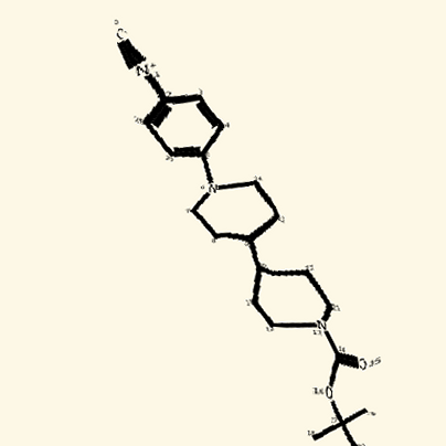 [C-]#[N+]c1ccc(N2CCC(C3CCN(C(=O)OC(C)(C)C)CC3)CC2)cc1